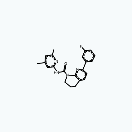 Cc1cc(C)nc(NC(=O)N2CCCc3ccc(-c4cccc(F)c4)nc32)c1